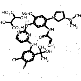 C=CC(=O)Nc1cc(Nc2nccc(Nc3cc(Cl)c(F)cc3C(C)(C)O)n2)c(OC)cc1N1CC[C@@H](N(C)C)C1.O=C(O)C(O)C(O)C(=O)O